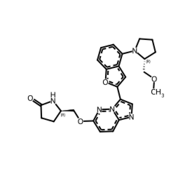 COC[C@H]1CCCN1c1cccc2oc(-c3cnc4ccc(OC[C@H]5CCC(=O)N5)nn34)cc12